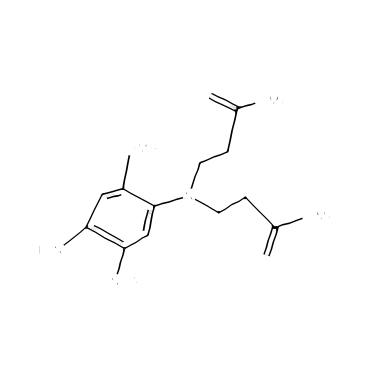 COC(=O)CCN(CCC(=O)OC)c1cc(NC(C)=O)c(N)cc1OC